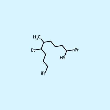 CCCC(S)CCCC(C)C(CC)CCCC(C)C